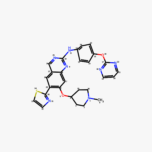 CN1CCC(Oc2cc3nc(Nc4ccc(Oc5ncccn5)cc4)ncc3cc2-c2nccs2)CC1